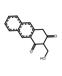 O=C1Cc2cc3ccccc3cc2C(=O)C1CO